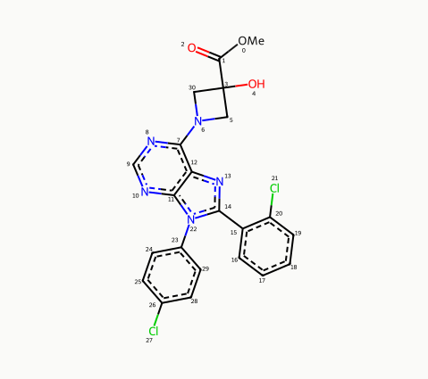 COC(=O)C1(O)CN(c2ncnc3c2nc(-c2ccccc2Cl)n3-c2ccc(Cl)cc2)C1